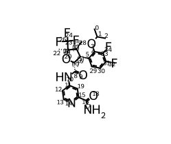 CC(C)Oc1c([C@H]2[C@H](C(=O)Nc3ccnc(C(N)=O)c3)O[C@@](C)(C(F)(F)F)[C@H]2C)ccc(F)c1F